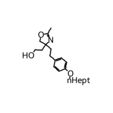 CCCCCCCOc1ccc(CCC2(CCO)COC(C)=N2)cc1